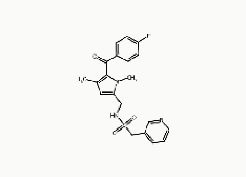 Cc1cc(CNS(=O)(=O)Cc2cccnc2)n(C)c1C(=O)c1ccc(F)cc1